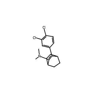 CN(C)C1=C(c2ccc(Cl)c(Cl)c2)C2CCC1CC2